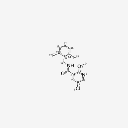 COc1ncc(Cl)cc1C(=O)NCc1c(F)cccc1F